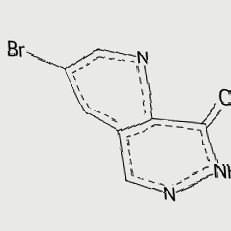 O=c1[nH]ncc2cc(Br)cnc12